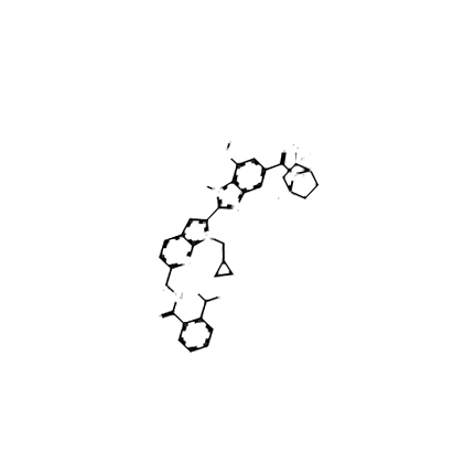 COc1cc(C(=O)N2[C@H]3CC[C@@H]2[C@H](N)C3)cc2nc(-c3cc4ccc([C@@H](C)NC(=O)c5ccccc5C(F)F)nc4n3CC3CC3)n(C)c12